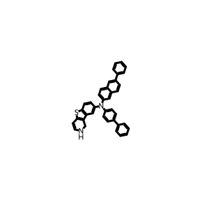 C1=Cc2sc3ccc(N(c4ccc(-c5ccccc5)cc4)c4ccc5cc(-c6ccccc6)ccc5c4)cc3c2CN1